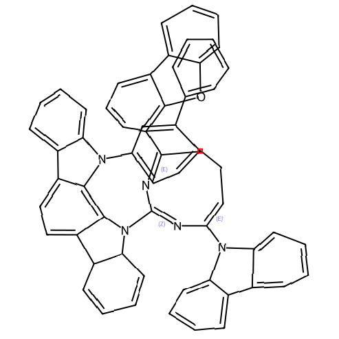 C1=CC2c3ccc4c5ccccc5n(-c5cccc(-c6ccccc6)c5)c4c3N(C3=N/C(n4c5ccccc5c5ccccc54)=C\CC/C(c4cccc5c4oc4ccccc45)=N\3)C2C=C1